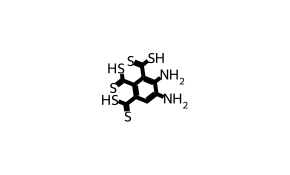 Nc1cc(C(=S)S)c(C(=S)S)c(C(=S)S)c1N